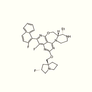 CC[C@@H]1NCCN2c3nc(OC[C@@]45CCCN4C[C@H](F)C5)nc4c(F)c(-c5c(F)ccc6ccccc56)nc(c34)OC[C@H]12